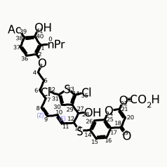 CCCc1c(OCCCC/C=C\C=C\C(Sc2ccc3c(=O)cc(OC(=O)O)oc3c2)C(O)c2cc(Cl)sc2Cl)ccc(C(C)=O)c1O